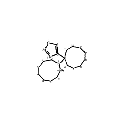 c1onnc1C1(N2CCCCCCCN2)CCCCCCCC1